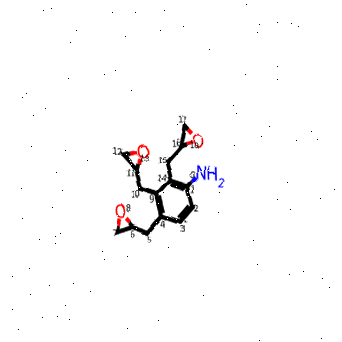 Nc1c[c]c(CC2CO2)c(CC2CO2)c1CC1CO1